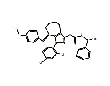 COc1ccc(/C=C2\CCCCc3c(OC(=O)N[C@@H](C)c4ccccc4)nn(-c4ccc(Cl)cc4Cl)c32)cc1